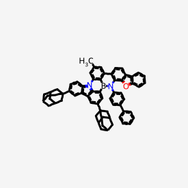 Cc1cc2c3c(c1)-n1c4ccc(C56CC7CC(CC(C7)C5)C6)cc4c4cc(C56CC7CC(CC(C7)C5)C6)cc(c41)B3N(c1ccc(-c3ccccc3)cc1)c1c-2ccc2c1oc1ccccc12